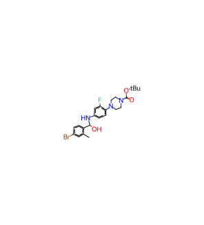 Cc1cc(Br)ccc1C(O)Nc1ccc(N2CCN(C(=O)OC(C)(C)C)CC2)c(F)c1